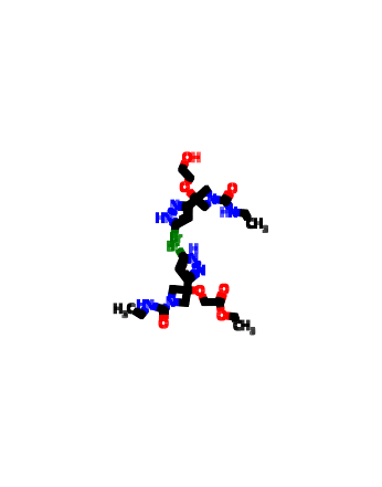 CCNC(=O)N1CC(OCC(=O)OCC)(c2cc(Br)[nH]n2)C1.CCNC(=O)N1CC(OCCO)(c2cc(Br)[nH]n2)C1